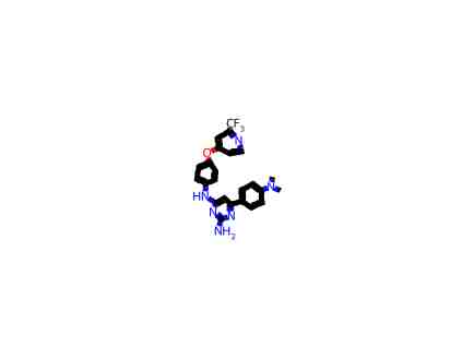 CN(C)c1ccc(-c2cc(Nc3ccc(Oc4ccnc(C(F)(F)F)c4)cc3)nc(N)n2)cc1